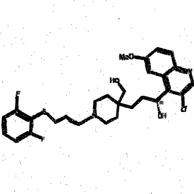 COc1ccc2ncc(Cl)c([C@H](O)CCC3(CO)CCN(CCCSc4c(F)cccc4F)CC3)c2c1